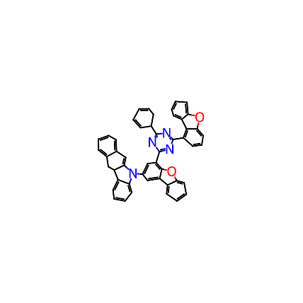 C1=CCC(c2nc(-c3cc(N4C5=Cc6ccccc6CC5c5ccccc54)cc4c3oc3ccccc34)nc(-c3cccc4oc5ccccc5c34)n2)C=C1